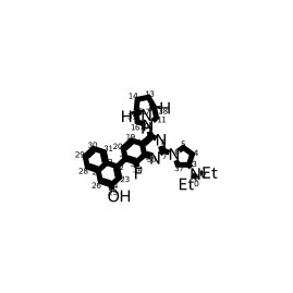 CCN(CC)C1CCN(c2nc(N3C[C@H]4CC[C@@H](C3)N4)c3ccc(-c4cc(O)cc5ccccc45)c(F)c3n2)C1